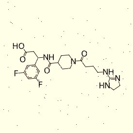 O=C(O)CC(NC(=O)C1CCN(C(=O)CCCNC2=NCCN2)CC1)c1cc(F)cc(F)c1